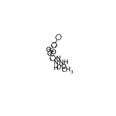 COC(=O)Nc1nc2cc(OS(=O)(=O)c3ccc(C4CCCCC4)cc3)ccc2[nH]1